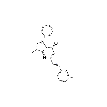 Cc1cccc(/C=C/c2cc(=O)n3c(n2)c(C)cn3-c2ccccc2)n1